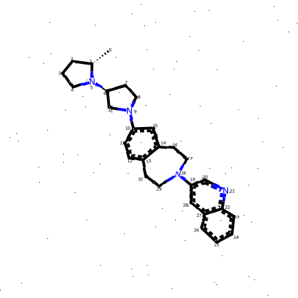 C[C@H]1CCCN1[C@H]1CCN(c2ccc3c(c2)CCN(c2cnc4ccccc4c2)CC3)C1